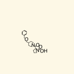 O=C(C1CCCN1C(=O)O)N1CCC(COCc2ccccc2)CC1